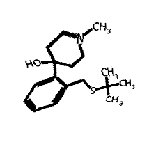 CN1CCC(O)(c2ccccc2CSC(C)(C)C)CC1